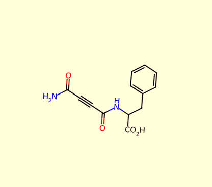 NC(=O)C#CC(=O)NC(Cc1ccccc1)C(=O)O